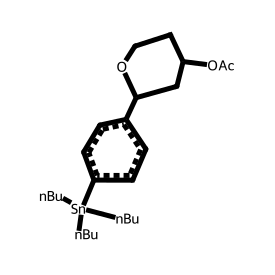 CCC[CH2][Sn]([CH2]CCC)([CH2]CCC)[c]1ccc(C2CC(OC(C)=O)CCO2)cc1